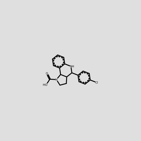 O=C(O)N1CCC2C(c3ccc(Cl)cc3)Nc3ccccc3C21